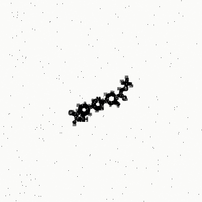 CC1CN(c2ncc(-c3ccc4c(=O)n(C)[nH]c4c3)cn2)CCN1C(=O)COC(C)(C)C